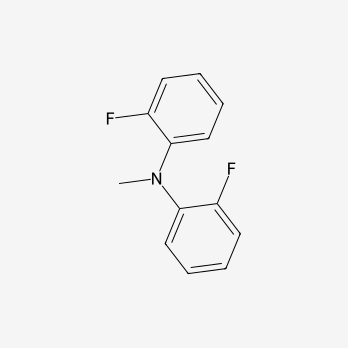 CN(c1ccccc1F)c1ccccc1F